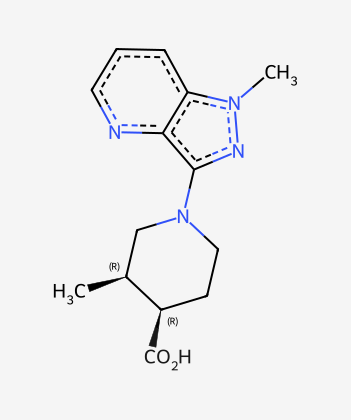 C[C@H]1CN(c2nn(C)c3cccnc23)CC[C@H]1C(=O)O